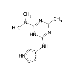 CC1N=C(Nc2cc[nH]c2)NC(N(C)C)=N1